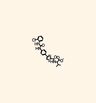 COC(=O)C(NC(=O)c1nc(-c2ccc(NC(=O)Nc3ccccc3Cl)cc2)cs1)C(C)C